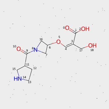 O=C(O)/C(=C\OC1CN(C(=O)C2CCNC2)C1)CO